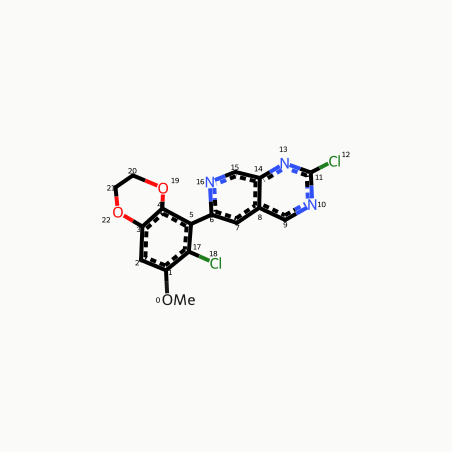 COc1cc2c(c(-c3cc4cnc(Cl)nc4cn3)c1Cl)OCCO2